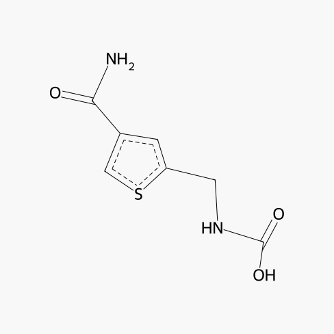 NC(=O)c1csc(CNC(=O)O)c1